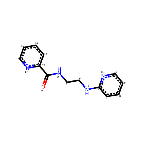 O=C(NCCNc1ccccn1)c1ccccn1